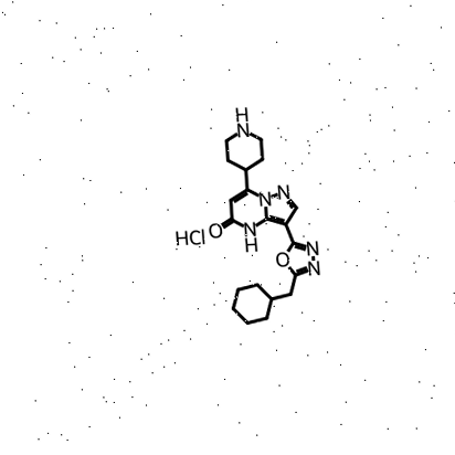 Cl.O=c1cc(C2CCNCC2)n2ncc(-c3nnc(CC4CCCCC4)o3)c2[nH]1